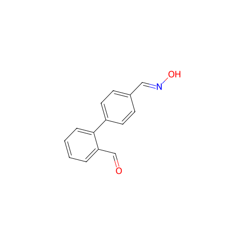 O=Cc1ccccc1-c1ccc(C=NO)cc1